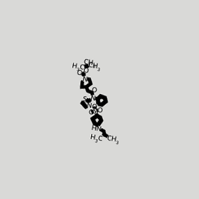 CC(C)CNc1ccc(S(=O)(=O)Oc2ccccc2N(C(=O)CC2CCN(C(=O)OC(C)(C)C)CC2)c2nccs2)cc1